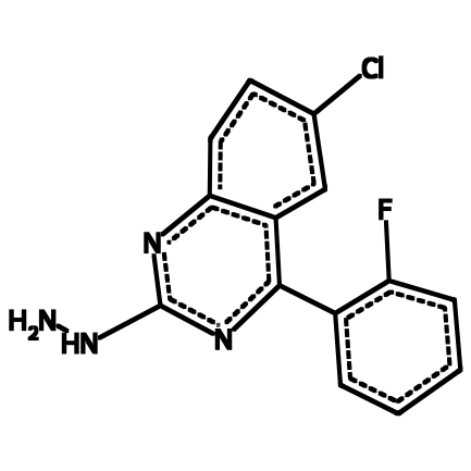 NNc1nc(-c2ccccc2F)c2cc(Cl)ccc2n1